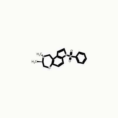 C[C@@H]1COc2ccc3c(ccn3S(=O)(=O)c3ccccc3)c2CN1C